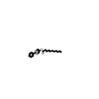 CCCCCCCCCCC(=O)Oc1cnc(-c2cc[c]cc2)nc1